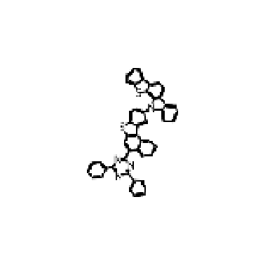 c1ccc(-c2nc(-c3ccccc3)nc(-c3cc4sc5ccc(-n6c7ccccc7c7ccc8c9ccccc9sc8c76)cc5c4c4ccccc34)n2)cc1